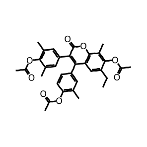 CCc1cc2c(-c3ccc(OC(C)=O)c(C)c3)c(-c3cc(C)c(OC(C)=O)c(C)c3)c(=O)oc2c(C)c1OC(C)=O